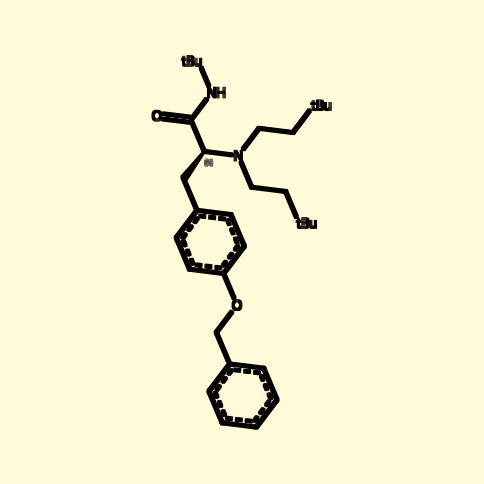 CC(C)(C)CCN(CCC(C)(C)C)[C@@H](Cc1ccc(OCc2ccccc2)cc1)C(=O)NC(C)(C)C